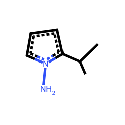 CC(C)c1cccn1N